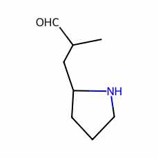 CC(C=O)CC1CCCN1